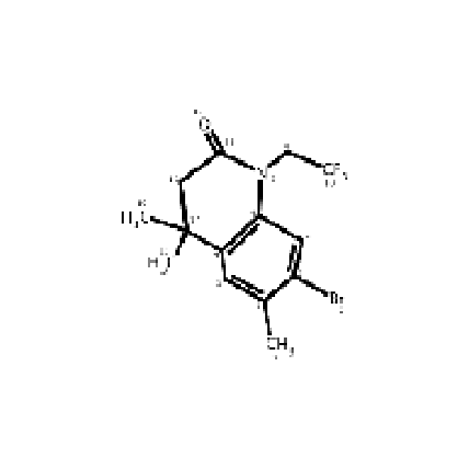 Cc1cc2c(cc1Br)N(CC(F)(F)F)C(=O)CC2(C)C